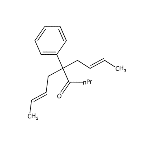 CC=CCC(CC=CC)(C(=O)CCC)c1ccccc1